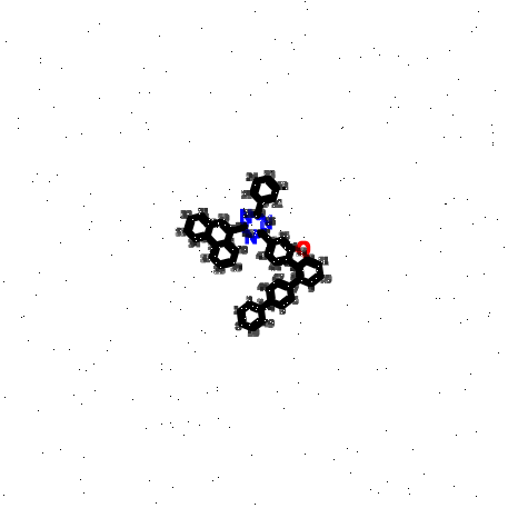 c1ccc(-c2ccc(-c3cccc4oc5cc(-c6nc(-c7ccccc7)nc(-c7cc8ccccc8c8ccccc78)n6)ccc5c34)cc2)cc1